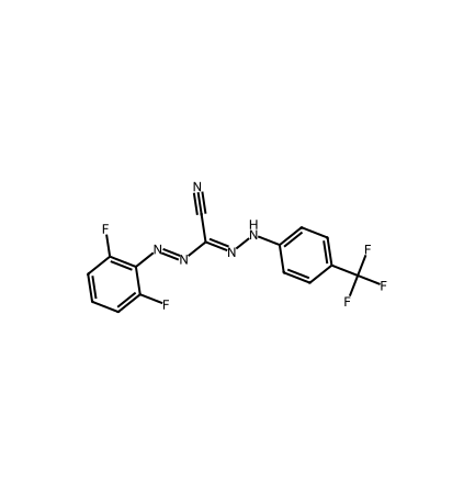 N#CC(/N=N/c1c(F)cccc1F)=N\Nc1ccc(C(F)(F)F)cc1